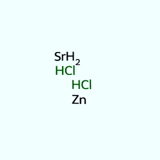 Cl.Cl.[SrH2].[Zn]